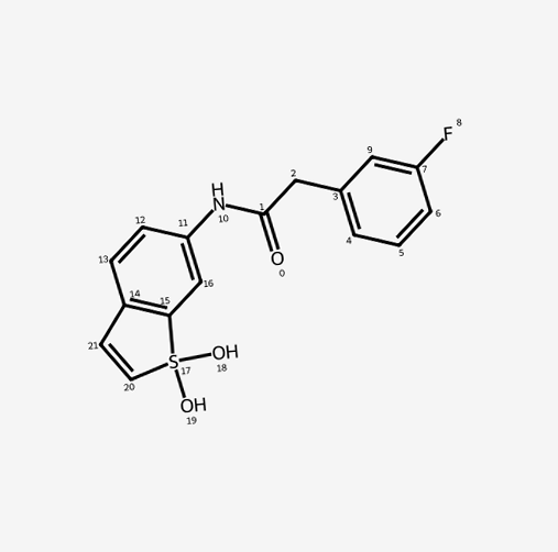 O=C(Cc1cccc(F)c1)Nc1ccc2c(c1)S(O)(O)C=C2